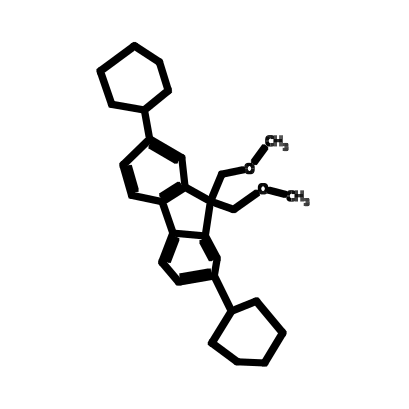 COCC1(COC)c2cc(C3CCCCC3)ccc2-c2ccc(C3CCCCC3)cc21